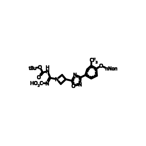 CCCCCCCCCOc1ccc(-c2noc(C3CN(/C(=N/C(=O)O)NC(=O)OC(C)(C)C)C3)n2)cc1C(F)(F)F